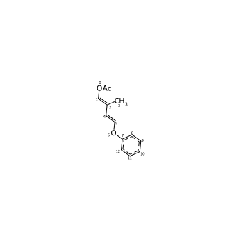 CC(=O)O/C=C(C)/C=C/Oc1ccccc1